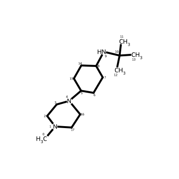 CN1CCN(C2CCC(NC(C)(C)C)CC2)CC1